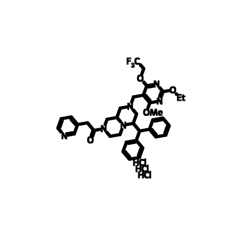 CCOc1nc(OC)c(CN2CC3CN(C(=O)Cc4cccnc4)CCN3C(C(c3ccccc3)c3ccccc3)C2)c(OCC(F)(F)F)n1.Cl.Cl.Cl